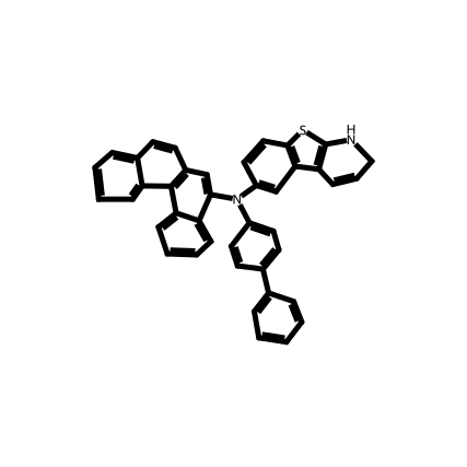 C1=Cc2c(sc3ccc(N(c4ccc(-c5ccccc5)cc4)c4cc5ccc6ccccc6c5c5ccccc45)cc23)NC1